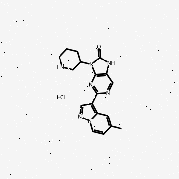 Cc1ccn2ncc(-c3ncc4[nH]c(=O)n(C5CCCNC5)c4n3)c2c1.Cl